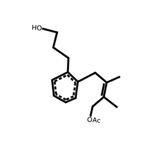 CC(=O)OCC(C)=C(C)Cc1ccccc1CCCO